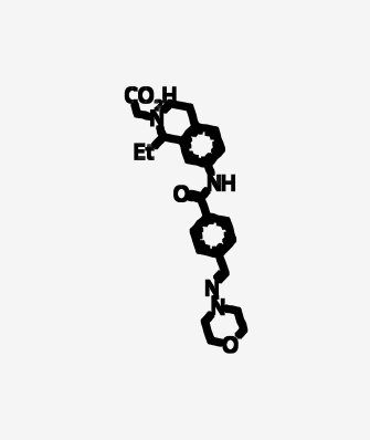 CCC1c2cc(NC(=O)c3ccc(C=NN4CCOCC4)cc3)ccc2CCN1CC(=O)O